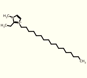 CCCCCCCCCCCCCCCCC[n+]1ccn(C)c1CC